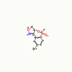 CS(=O)(=O)c1ccc(Br)cc1C1=NOCC1